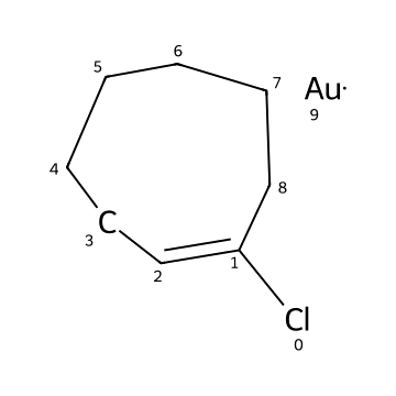 Cl/C1=C/CCCCCC1.[Au]